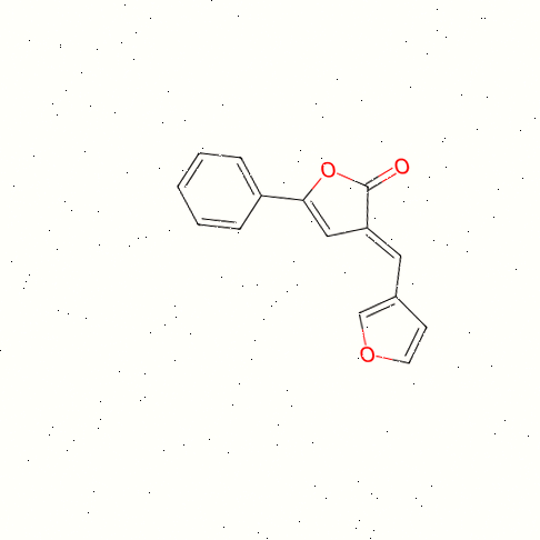 O=C1OC(c2ccccc2)=CC1=Cc1ccoc1